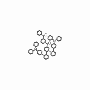 O=C(c1ccccc1)c1cccc(C(=O)c2ccc(-c3ccccc3-c3ccc(N(c4ccccc4)c4ccccc4)cc3)c(-c3ccccc3-c3ccc(N(c4ccccc4)c4ccccc4)cc3)c2)c1